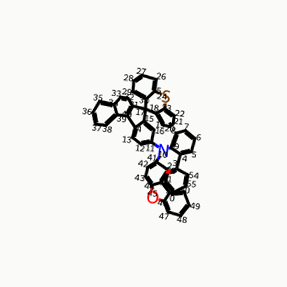 c1ccc(-c2ccccc2N(c2ccc3c(c2)C2(c4ccccc4Sc4ccccc42)c2ccc4ccccc4c2-3)c2ccc3oc4ccccc4c3c2)cc1